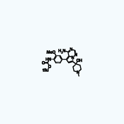 COc1cc(-c2cc(C3(O)CCN(C)CC3)n3ncnc(N)c23)ccc1NC(=O)OC(C)(C)C